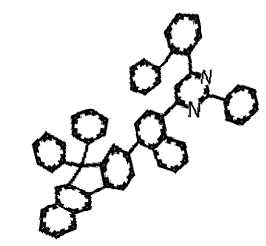 c1ccc(-c2nc(-c3ccccc3-c3ccccc3)cc(-c3ccc(-c4ccc5c(c4)C(c4ccccc4)(c4ccccc4)c4cc6ccccc6cc4-5)c4ccccc34)n2)cc1